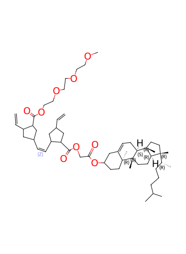 C=CC1CC(/C=C\C2CC(C=C)C(C(=O)OCCOCCOCCOC)C2)C(C(=O)OCC(=O)OC2CC[C@@]3(C)C(=CC[C@H]4[C@]5(C)CC[C@](C)([C@H](C)CCCC(C)C)[C@H]5CC[C@@]43C)C2)C1